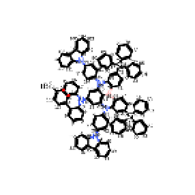 CC(C)(C)c1ccc(-c2ccccc2N(c2ccccc2)c2cc3c4c(c2)N(c2ccc(-n5c6ccccc6c6ccccc65)cc2)c2cc([Si](c5ccccc5)(c5ccccc5)c5ccccc5)ccc2B4c2ccc([Si](c4ccccc4)(c4ccccc4)c4ccccc4)cc2N3c2ccc(-n3c4ccccc4c4ccccc43)cc2)cc1